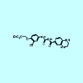 CCOC(=O)COc1ccc(NC(=O)NC(=O)c2ccc3c(c2)NCCN3)cc1Cl